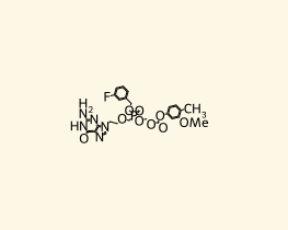 COc1cc(OC(=O)OCOP(=O)(COCCn2cnc3c(=O)[nH]c(N)nc32)OCc2cccc(F)c2)ccc1C